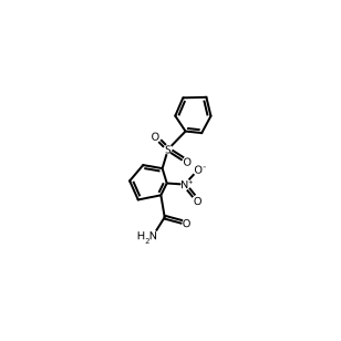 NC(=O)c1cccc(S(=O)(=O)c2ccccc2)c1[N+](=O)[O-]